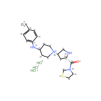 Cl.Cl.Cl.O=C([C@@H]1C[C@H](N2CCC(Nc3ccc([N+](=O)[O-])cc3)CC2)CN1)N1CCSC1